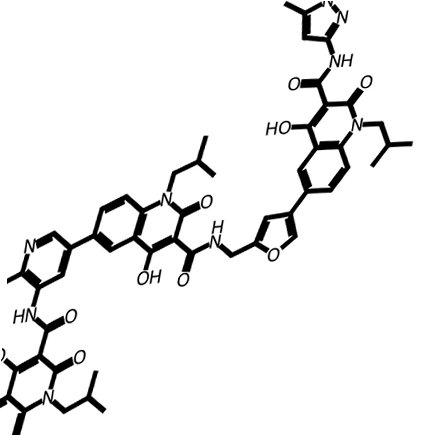 Cc1cc(NC(=O)c2c(O)c3cc(-c4coc(CNC(=O)c5c(O)c6cc(-c7cnc(C)c(NC(=O)c8c(O)c9ccccc9n(CC(C)C)c8=O)c7)ccc6n(CC(C)C)c5=O)c4)ccc3n(CC(C)C)c2=O)n[nH]1